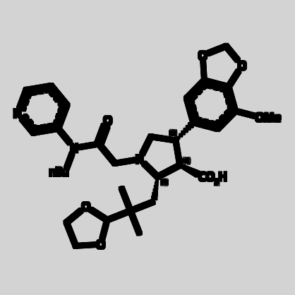 CCCCN(C(=O)CN1C[C@H](c2cc(OC)c3c(c2)OCO3)[C@@H](C(=O)O)[C@@H]1CC(C)(C)C1OCCO1)c1cccnc1